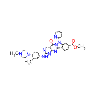 COC(=O)c1ccc2c(c1)n(-c1ccccn1)n1c(=O)c3cnc(Nc4ccc(N5CCN(C)CC5)c(C)c4)nc3nc21